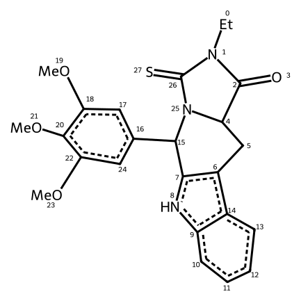 CCN1C(=O)C2Cc3c([nH]c4ccccc34)C(c3cc(OC)c(OC)c(OC)c3)N2C1=S